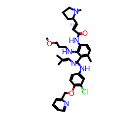 COCCCNc1c(NC(=O)/C=C/C2CCCN2C)ccc(C)c1/C(=N\C=C(C)C)Nc1ccc(OCc2ccccn2)c(Cl)c1